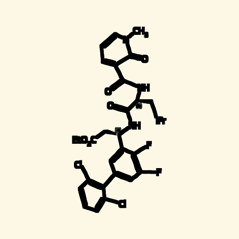 CCOC(=O)C[C@H](NC(=O)[C@H](CC(C)C)NC(=O)c1cccn(C)c1=O)c1cc(-c2c(Cl)cccc2Cl)cc(F)c1F